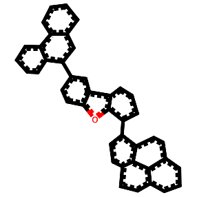 c1ccc2c(c1)cc(-c1ccc3oc4c(-c5ccc6ccc7cccc8ccc5c6c78)cccc4c3c1)c1ccccc12